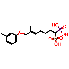 C/C(=C\CCCC(P(=O)(O)O)S(=O)(=O)O)COc1cccc(C)c1